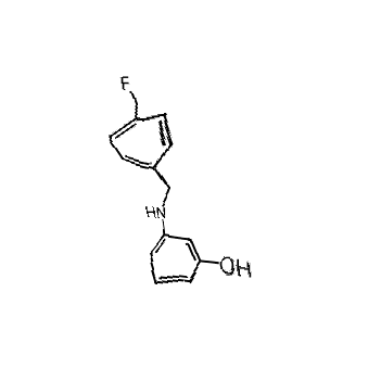 Oc1cccc(NCc2ccc(F)cc2)c1